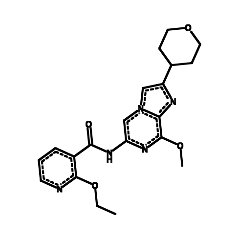 CCOc1ncccc1C(=O)Nc1cn2cc(C3CCOCC3)nc2c(OC)n1